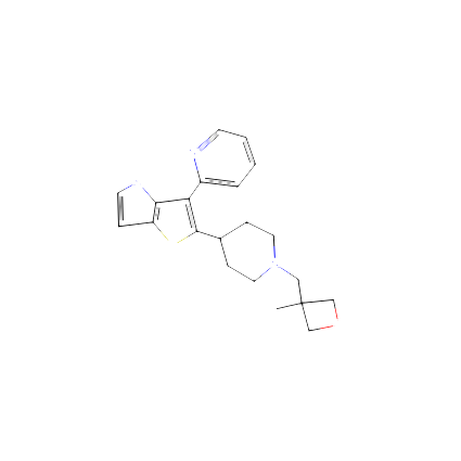 CC1(CN2CCC(c3sc4cc[nH]c4c3-c3ccccn3)CC2)COC1